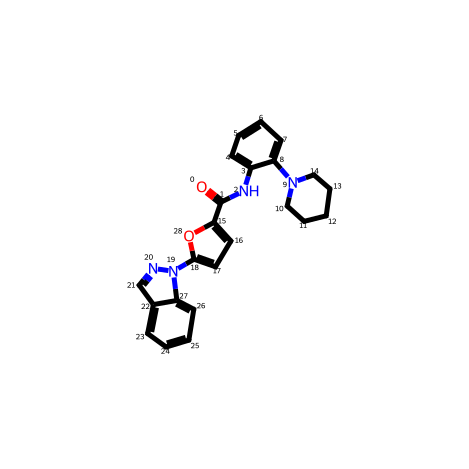 O=C(Nc1ccccc1N1CCCCC1)c1ccc(-n2ncc3ccccc32)o1